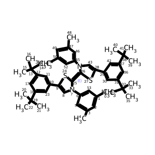 Cc1cc(C)cc(N2C=C(c3cc(C(C)(C)C)cc(C(C)(C)C)c3)S/C2=C2/SC(c3cc(C(C)(C)C)cc(C(C)(C)C)c3)=CN2c2cc(C)cc(C)c2)c1